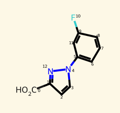 O=C(O)c1ccn(-c2cc[c]c(F)c2)n1